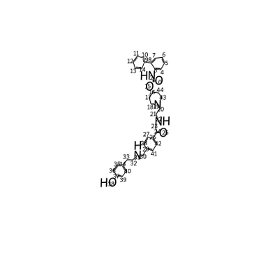 O=C(Nc1ccccc1-c1ccccc1)OC1CCN(CCNCC(=O)c2ccc(CNCCc3ccc(O)cc3)cc2)CC1